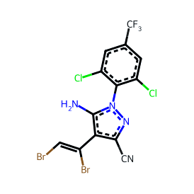 N#Cc1nn(-c2c(Cl)cc(C(F)(F)F)cc2Cl)c(N)c1C(Br)=CBr